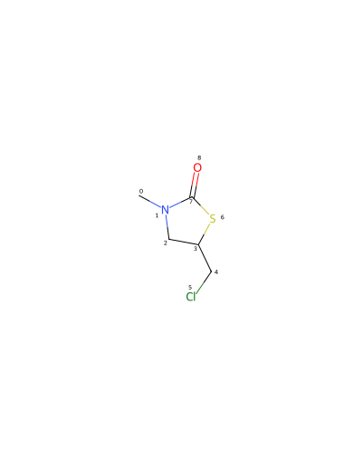 CN1CC(CCl)SC1=O